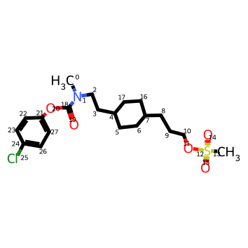 CN(CCC1CCC(CCCOS(C)(=O)=O)CC1)C(=O)Oc1ccc(Cl)cc1